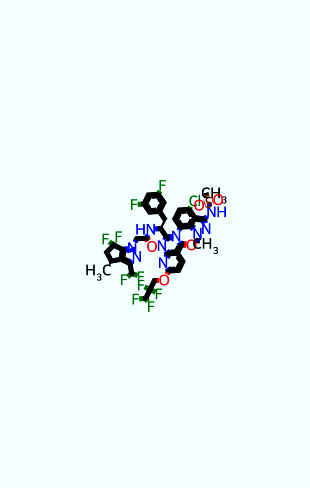 C[C@@H]1CC(F)(F)c2c1c(C(F)F)nn2CC(=O)N[C@@H](Cc1cc(F)cc(F)c1)c1nc2nc(OCC(F)(F)C(F)F)ccc2c(=O)n1-c1ccc(Cl)c2c(NS(C)(=O)=O)nn(C)c12